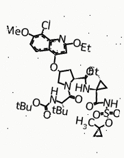 CCOc1cc(O[C@@H]2C[C@@H](C(=O)N[C@]3(C(=O)NS(=O)(=O)OC4(C)CC4)C[C@H]3CC)N(C(=O)[C@@H](NC(=O)OC(C)(C)C)C(C)(C)C)C2)c2ccc(OC)c(Cl)c2n1